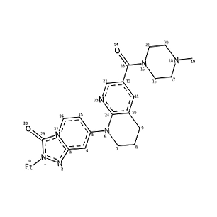 CCn1nc2cc(N3CCCc4cc(C(=O)N5CCN(C)CC5)cnc43)ccn2c1=O